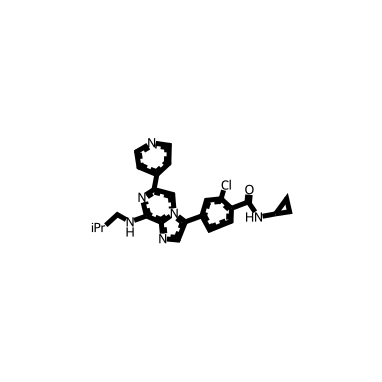 CC(C)CNc1nc(-c2ccncc2)cn2c(-c3ccc(C(=O)NC4CC4)c(Cl)c3)cnc12